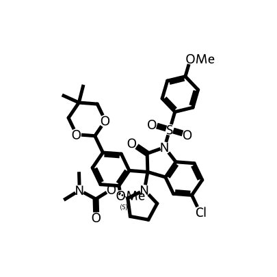 COc1ccc(S(=O)(=O)N2C(=O)C(c3cc(C4OCC(C)(C)CO4)ccc3OC)(N3CCC[C@@H]3OC(=O)N(C)C)c3cc(Cl)ccc32)cc1